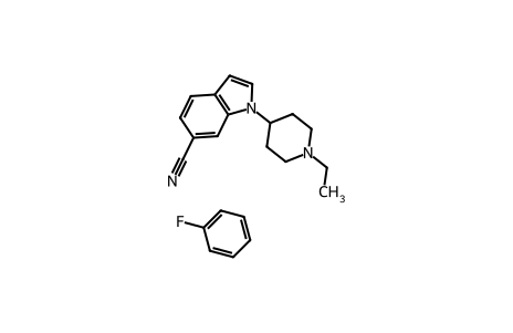 CCN1CCC(n2ccc3ccc(C#N)cc32)CC1.Fc1ccccc1